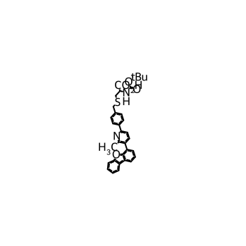 Cc1nc(-c2ccc(CSCC(NC(=O)OC(C)(C)C)C(=O)O)cc2)ccc1-c1cccc2c1oc1ccccc12